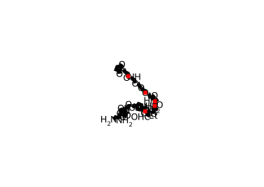 CCC(C=O)C(NC(=O)C(C)NC(=O)C(C)NC(=O)CCOCCOCCOCCNC(=O)CCCN1C(=O)C=CC1=O)C(=O)N(N)c1ccc(COC(=O)N2CC3(C2)C(=O)OP([C@H](N)CN)OC3=O)cc1